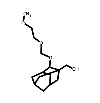 COCCOCOC1C2CC3CC(C2)CC1(CO)C3